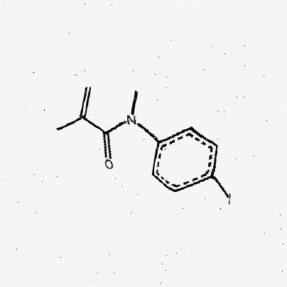 C=C(C)C(=O)N(C)c1ccc(I)cc1